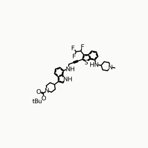 CN1CCC(Nc2cccc3c(C(F)C(F)F)c(C#CCNc4cccc5c(C6CCN(C(=O)OC(C)(C)C)CC6)c[nH]c45)sc23)CC1